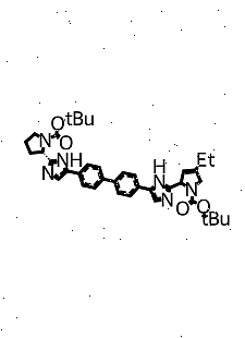 CCC1=CC(c2ncc(-c3ccc(-c4ccc(-c5cnc([C@@H]6CCCN6C(=O)OC(C)(C)C)[nH]5)cc4)cc3)[nH]2)N(C(=O)OC(C)(C)C)C1